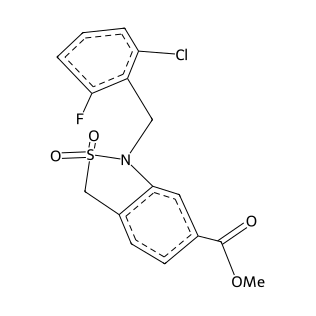 COC(=O)c1ccc2c(c1)N(Cc1c(F)cccc1Cl)S(=O)(=O)C2